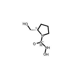 [O-][NH+](NO)N1CCC[C@H]1CO